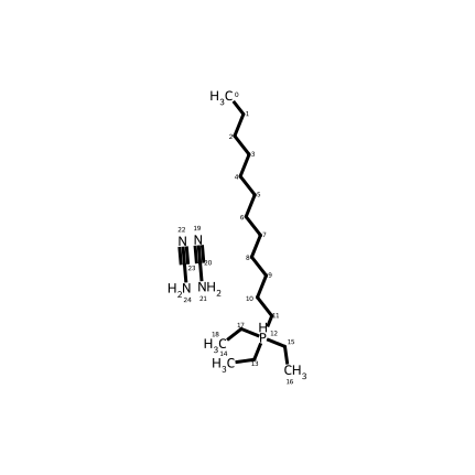 CCCCCCCCCCCC[PH](CC)(CC)CC.N#CN.N#CN